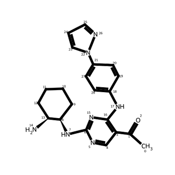 CC(=O)c1cnc(N[C@@H]2CCCC[C@@H]2N)nc1Nc1ccc(-n2cccn2)cc1